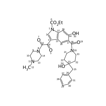 CCOC(=O)n1cc(C(=O)C(=O)N2CCN(C)CC2)c2cc(C(=O)N3CCC(O)(Cc4ccccc4)CC3)c(O)cc21